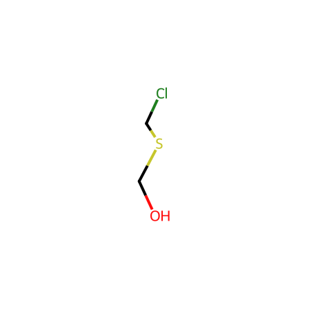 OCSCCl